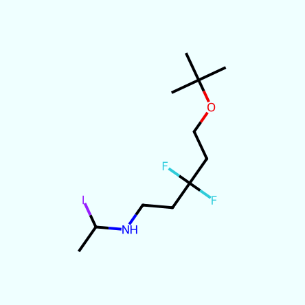 CC(I)NCCC(F)(F)CCOC(C)(C)C